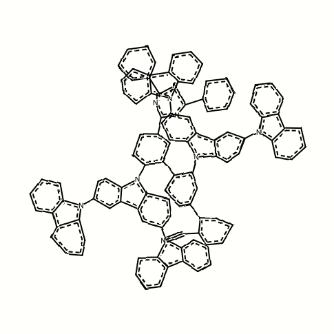 N#Cc1ccccc1-c1ccc(-c2cc(-c3nc(-c4ccccc4)nc(-c4ccccc4)n3)ccc2-n2c3ccc(-n4c5ccccc5c5ccccc54)cc3c3cc(-n4c5ccccc5c5ccccc54)ccc32)c(-n2c3ccc(-n4c5ccccc5c5ccccc54)cc3c3cc(-n4c5ccccc5c5ccccc54)ccc32)c1